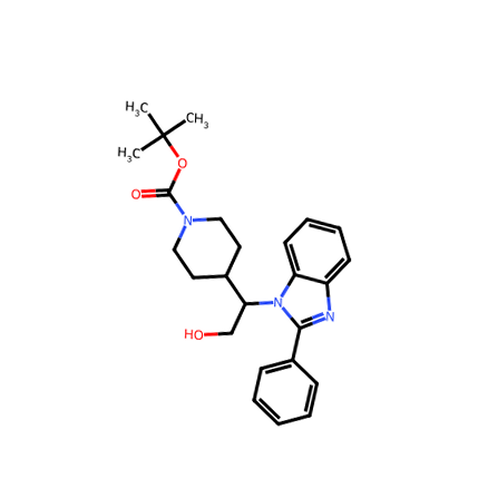 CC(C)(C)OC(=O)N1CCC(C(CO)n2c(-c3ccccc3)nc3ccccc32)CC1